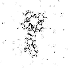 O=c1c2ccccc2oc2cc(-c3ccc(N4c5ccccc5-c5ccccc5Sc5ccccc5-c5ccccc54)cc3)ccc12